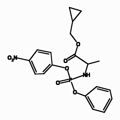 CC(NP(=O)(Oc1ccccc1)Oc1ccc([N+](=O)[O-])cc1)C(=O)OCC1CC1